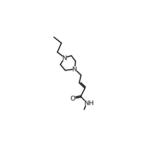 CCCN1CCN(C/C=C/C(=O)NC)CC1